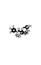 Cl.Cn1cc2c(c1C(=O)Nc1cc(F)c(F)c(F)c1)OCC1CNCC1NS2(=O)=O